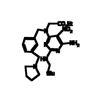 CCOC(=O)CN(Cc1cccc(CN2CCCC2)c1)c1nc(NCC(C)(C)C)nc(N)c1[N+](=O)[O-]